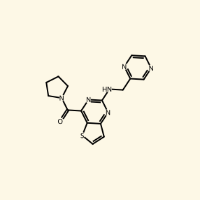 O=C(c1nc(NCc2cnccn2)nc2ccsc12)N1CCCC1